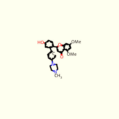 COc1cc(OC)c2c(=O)cc(-c3ccc(O)cc3-c3ccc(N4CCN(C)CC4)cc3)oc2c1